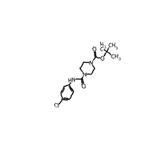 CC(C)(C)OC(=O)N1CCN(C(=O)Nc2ccc(Cl)cc2)CC1